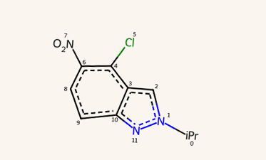 CC(C)n1cc2c(Cl)c([N+](=O)[O-])ccc2n1